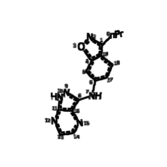 CCCc1noc2cc(Nc3n[nH]c4nccnc34)ccc12